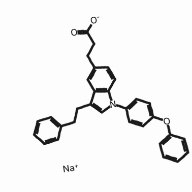 O=C([O-])CCc1ccc2c(c1)c(CCc1ccccc1)cn2-c1ccc(Oc2ccccc2)cc1.[Na+]